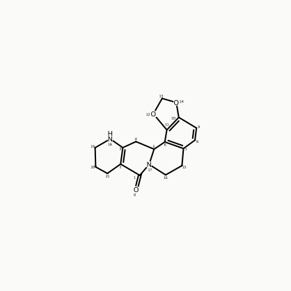 O=C1C2=C(CC3c4c(ccc5c4OCO5)CCN13)NCCC2